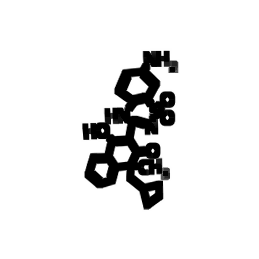 CC1(CC2CCC2)C(=O)C(C2=NS(=O)(=O)c3cc(N)ccc3N2)=C(O)c2ccccc21